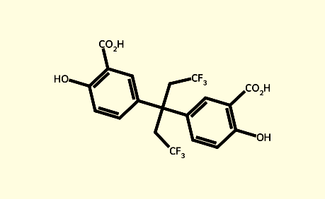 O=C(O)c1cc(C(CC(F)(F)F)(CC(F)(F)F)c2ccc(O)c(C(=O)O)c2)ccc1O